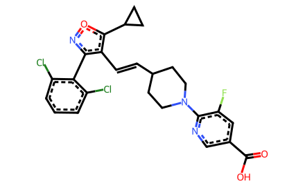 O=C(O)c1cnc(N2CCC(/C=C/c3c(-c4c(Cl)cccc4Cl)noc3C3CC3)CC2)c(F)c1